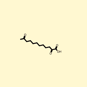 CC(=O)CCCCCCCCC(=O)C(=O)O